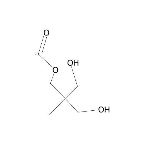 CC(CO)(CO)CO[C]=O